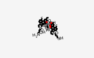 CCc1cccc(-c2c(F)cccc2C(O)(CCCN(C(=O)O)N(CCCC(O)(c2cccc(F)c2-c2cc(C)ccc2F)C2CCCN(C(=O)CCCNC)C2)C(=O)C(F)(F)F)C2CCCN(C(=O)CC(O)CN)C2)c1